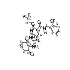 O=C(NCc1ccccc1C(F)(F)F)c1cc2nc(Nc3c(Cl)cncc3Cl)[nH]c2nc1OCC(F)F